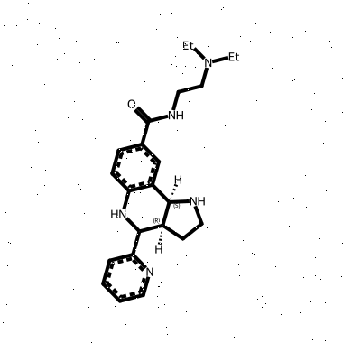 CCN(CC)CCNC(=O)c1ccc2c(c1)[C@H]1NCC[C@H]1C(c1ccccn1)N2